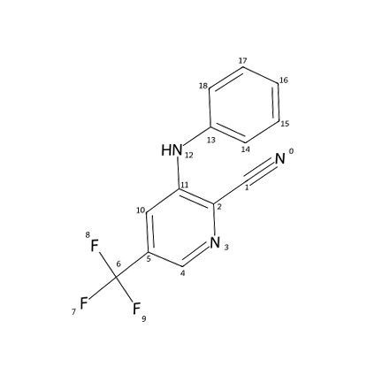 N#Cc1ncc(C(F)(F)F)cc1Nc1ccccc1